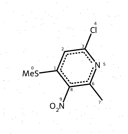 CSc1cc(Cl)nc(C)c1[N+](=O)[O-]